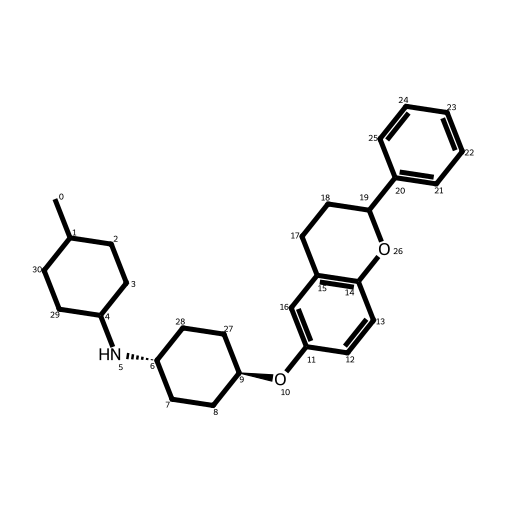 CC1CCC(N[C@H]2CC[C@H](Oc3ccc4c(c3)CCC(c3ccccc3)O4)CC2)CC1